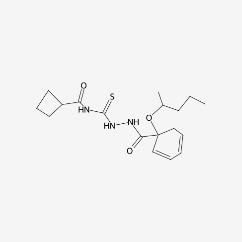 CCCC(C)OC1(C(=O)NNC(=S)NC(=O)C2CCC2)C=CC=CC1